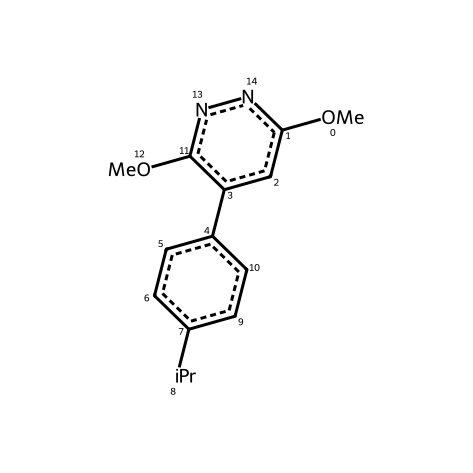 COc1cc(-c2ccc(C(C)C)cc2)c(OC)nn1